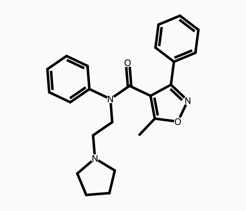 Cc1onc(-c2ccccc2)c1C(=O)N(CCN1CCCC1)c1ccccc1